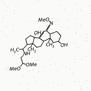 CO/N=C1\C=C2C(CCC3(C)C(C(C)NCC(OC)OC)CC[C@@]23O)C2(C)CC(O)CCC12